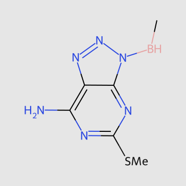 CBn1nnc2c(N)nc(SC)nc21